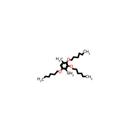 CCCCCCOc1cc(C)c(OCCCCCC)c(OCCCCCC)c1[SiH3]